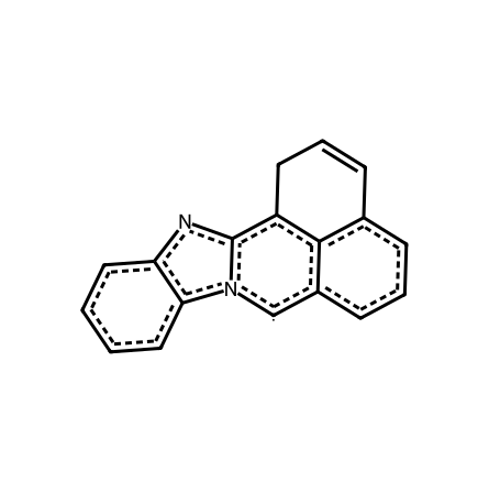 [c]1c2cccc3c2c(c2nc4ccccc4n12)CC=C3